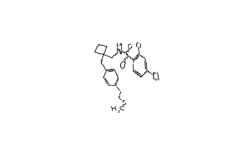 CSCCc1ccc(CC2(CNS(=O)(=O)c3ccc(Cl)cc3Cl)CCC2)cc1